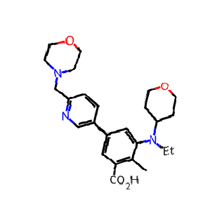 CCN(c1cc(-c2ccc(CN3CCOCC3)nc2)cc(C(=O)O)c1C)C1CCOCC1